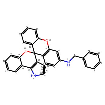 c1ccc(CNc2ccc3c(c2)Oc2ccccc2C32Oc3ccccc3-c3[nH]c4ccccc4c32)cc1